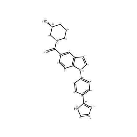 O=C(c1cnc2c(ccn2-c2ccc(-c3nnc[nH]3)cc2)c1)N1CCC[C@H](O)C1